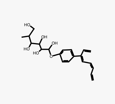 C=C/C=C\C=C(/C=C)c1ccc(OC(O)C(O)C(O)C(O)C(C)CO)cc1